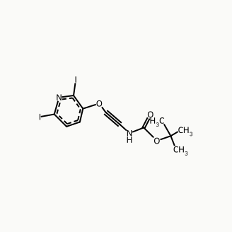 CC(C)(C)OC(=O)NC#COc1ccc(I)nc1I